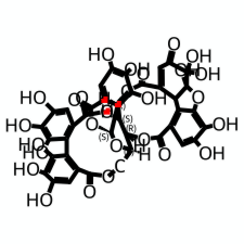 O=C1O[C@H]2[C@H](OC(=O)c3cc(O)c(O)c(O)c3)O[C@@H]3COC(=O)c4cc(O)c(O)c(O)c4-c4c(cc(O)c(O)c4O)C(=O)O[C@H]2[C@@H]3OC(=O)c2cc(O)c(O)c3c2C2C1=CC(=O)C(O)(O)C2(O)O3